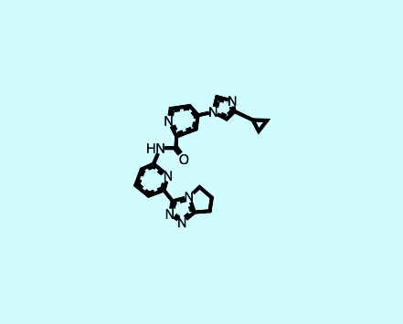 O=C(Nc1cccc(-c2nnc3n2CCC3)n1)c1cc(-n2cnc(C3CC3)c2)ccn1